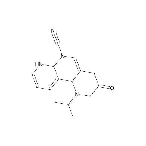 CC(C)N1CC(=O)CC2=CN(C#N)C3NC=CC=C3C21